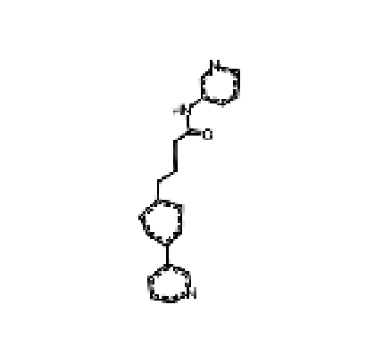 O=C(CCCc1ccc(-c2cccnc2)cc1)Nc1cccnc1